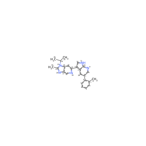 Cc1ccccc1-c1cnc2[nH]cc(-c3cc4c(cn3)nc(C)n4C(C)C)c2c1